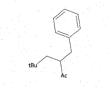 CC(=O)C(Cc1ccccc1)CC(C)(C)C